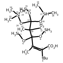 CC(=C(C(=O)O)C(C)(C)C)C(O[SiH3])(O[SiH3])C(C)(C)C(O[SiH3])(O[SiH](C)C)O[Si](C)(C)C